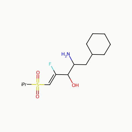 CC(C)S(=O)(=O)C=C(F)C(O)C(N)CC1CCCCC1